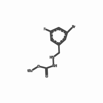 CC(C)(C)OC(=O)NNCc1cc(F)cc(Br)c1